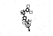 C#Cc1cnc(N(C(C)=O)C(=O)c2ccc(C3=NOC(C)(c4cc(Cl)cc(Cl)c4)C3)cc2C)nc1